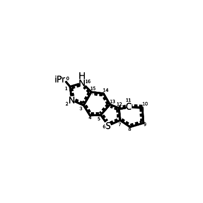 CC(C)c1nc2cc3sc4ccccc4c3cc2[nH]1